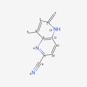 C=C1C=C(C)c2nc(C#N)ccc2N1